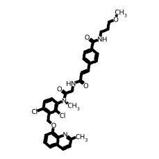 COCCCNC(=O)c1ccc(C=CC(=O)NCC(=O)N(C)c2ccc(Cl)c(COc3cccc4ccc(C)nc34)c2Cl)cc1